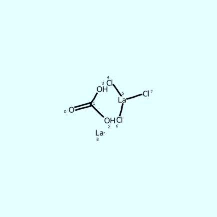 O=C(O)O.[Cl][La]([Cl])[Cl].[La]